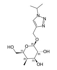 CC(C)n1cc(CO[C@@H]2O[C@H](CO)[C@H](C)[C@H](O)[C@H]2O)nn1